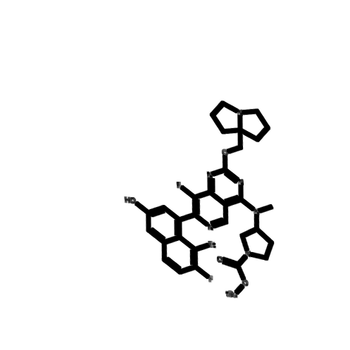 CCc1c(F)ccc2cc(O)cc(-c3ncc4c(N(C)C5CCN(C(=O)OC(C)(C)C)C5)nc(OCC56CCCN5CCC6)nc4c3F)c12